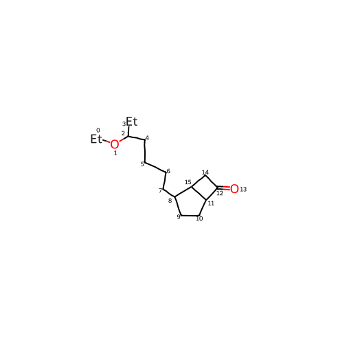 CCOC(CC)CCCCC1CCC2C(=O)CC12